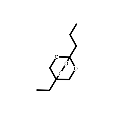 CCCC12OCC(CC)(CO1)CO2